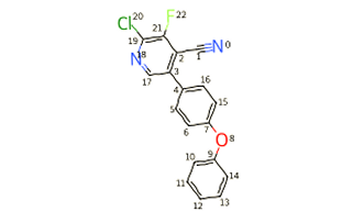 N#Cc1c(-c2ccc(Oc3ccccc3)cc2)cnc(Cl)c1F